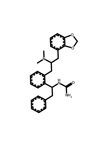 CN(C)C(Cc1ccccc1C(Cc1ccccc1)NC(N)=O)Cc1cccc2c1OCO2